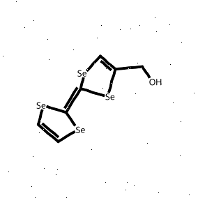 OCC1=C[Se]C(=C2[Se]C=C[Se]2)[Se]1